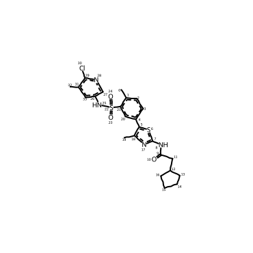 Cc1ccc(-c2sc(NC(=O)CC3CCCC3)nc2C)cc1S(=O)(=O)Nc1cnc(Cl)c(C)c1